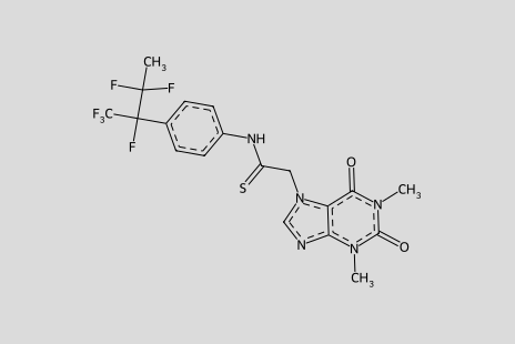 Cn1c(=O)c2c(ncn2CC(=S)Nc2ccc(C(F)(C(C)(F)F)C(F)(F)F)cc2)n(C)c1=O